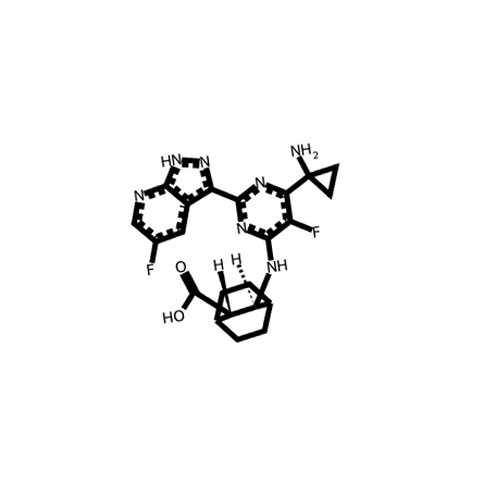 NC1(c2nc(-c3n[nH]c4ncc(F)cc34)nc(N[C@H]3C4CCC(CC4)[C@@H]3C(=O)O)c2F)CC1